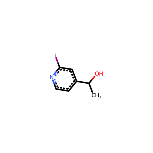 CC(O)c1ccnc(I)c1